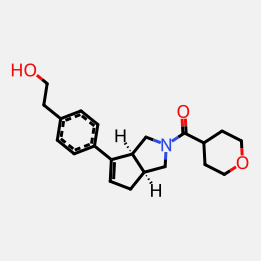 O=C(C1CCOCC1)N1C[C@H]2CC=C(c3ccc(CCO)cc3)[C@H]2C1